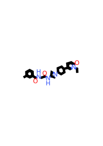 CCn1cc(C2CCC(N3CC(NC(=O)CNC(=O)c4cccc(C)c4)C3)CC2)ccc1=O